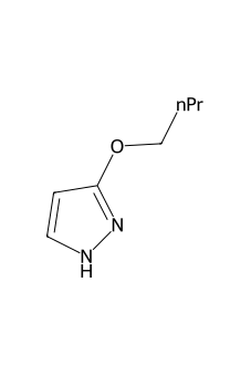 CCCCOc1cc[nH]n1